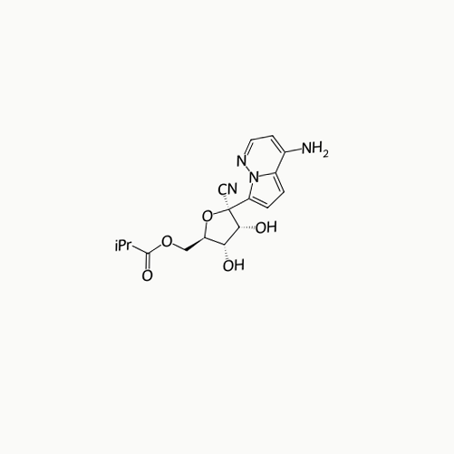 CC(C)C(=O)OC[C@H]1O[C@@](C#N)(c2ccc3c(N)ccnn23)[C@H](O)[C@@H]1O